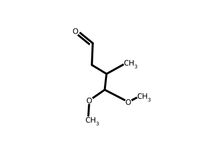 COC(OC)C(C)CC=O